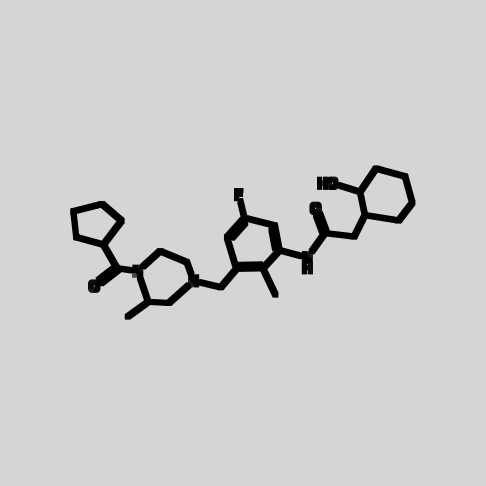 Cc1c(CN2CCN(C(=O)C3CCCC3)C(C)C2)cc(F)cc1NC(=O)CC1CCCCC1O